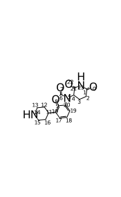 O=C1CCC(n2c(=O)oc3c(C4CCNCC4)cccc32)C(=O)N1